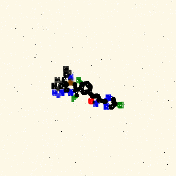 C/N=S1/C[C@@](CF)(c2cc(-c3cc(-c4ncc(Cl)cn4)no3)ccc2F)N=C(N)C1(C)C